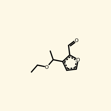 CCOC(C)c1ccoc1C=O